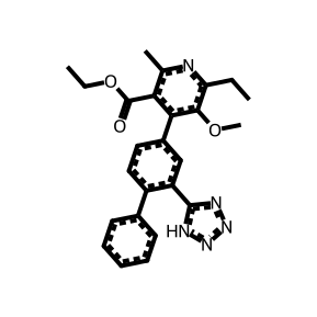 CCOC(=O)c1c(C)nc(CC)c(OC)c1-c1ccc(-c2ccccc2)c(-c2nnn[nH]2)c1